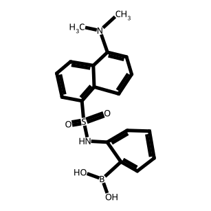 CN(C)c1cccc2c(S(=O)(=O)Nc3ccccc3B(O)O)cccc12